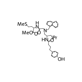 COC(=O)C(CCSC)NC(=O)CN(Cc1cccc2ccccc12)CC(CC(C)C)NC(=O)CCCc1ccc(O)cc1